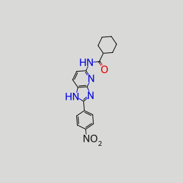 O=C(Nc1ccc2[nH]c(-c3ccc([N+](=O)[O-])cc3)nc2n1)C1CCCCC1